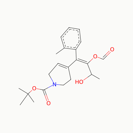 Cc1ccccc1/C(C1=CCN(C(=O)OC(C)(C)C)CC1)=C(\OC=O)C(C)O